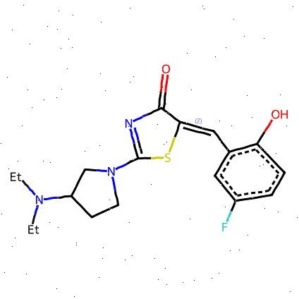 CCN(CC)C1CCN(C2=NC(=O)/C(=C/c3cc(F)ccc3O)S2)C1